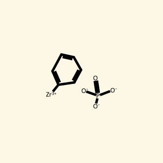 O=P([O-])([O-])[O-].[Zr+3][c]1ccccc1